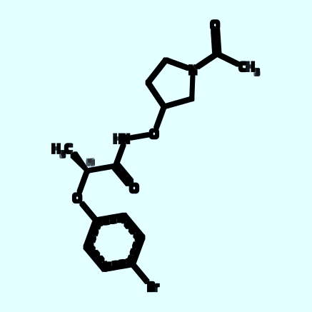 CC(=O)N1CCC(ONC(=O)[C@H](C)Oc2ccc(Br)cc2)C1